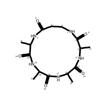 CC1NC(=O)CCNC(=O)C(C)NC(=O)C(C)NC(=O)C(C)NC1=O